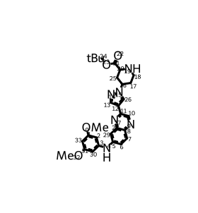 COc1cc(Nc2ccc3ncc(-c4cnn(C5CCNC(C(=O)OC(C)(C)C)C5)c4)nc3c2)cc(OC)c1